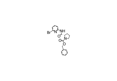 O=C(Nc1cccc(Br)n1)[C@@H]1CCCN1C(=O)OCc1ccccc1